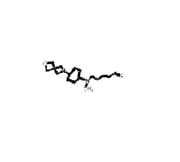 CN(CCCCC=O)c1ccc(N2CC3(COC3)C2)cc1